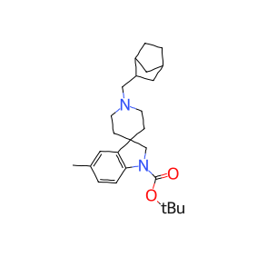 Cc1ccc2c(c1)C1(CCN(CC3CC4CCC3C4)CC1)CN2C(=O)OC(C)(C)C